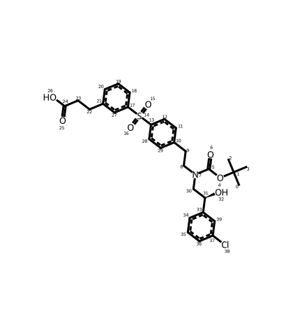 CC(C)(C)OC(=O)N(CCc1ccc(S(=O)(=O)c2cccc(CCC(=O)O)c2)cc1)C[C@@H](O)c1cccc(Cl)c1